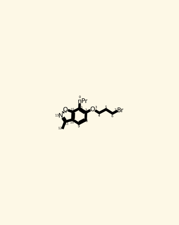 CCCc1c(OCCCBr)ccc2c(C)noc12